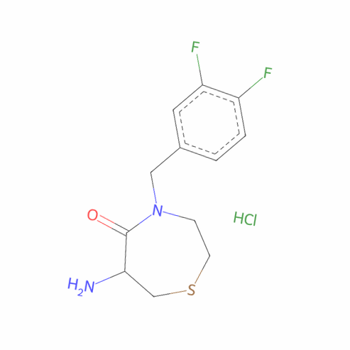 Cl.NC1CSCCN(Cc2ccc(F)c(F)c2)C1=O